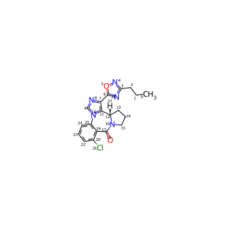 CCCc1noc(-c2ncn3c2[C@@H]2CCCN2C(=O)c2c(Cl)cccc2-3)n1